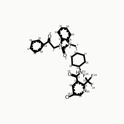 O=C(Cn1c(=O)n(C[C@H]2CC[C@H](NC(=O)c3cc(Cl)cnc3C(F)(F)F)CC2)c2ccccc21)c1ccccc1